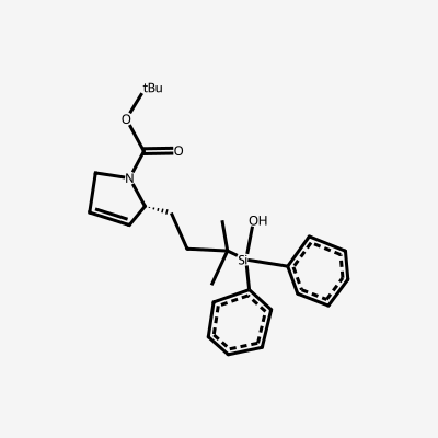 CC(C)(C)OC(=O)N1CC=C[C@H]1CCC(C)(C)[Si](O)(c1ccccc1)c1ccccc1